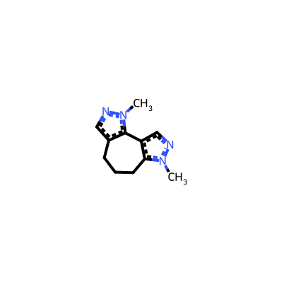 Cn1ncc2c1CCCc1cnn(C)c1-2